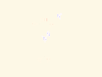 O=C(O)c1cn(C2CCC3(CC2)OCCO3)nc1OCc1ccccn1